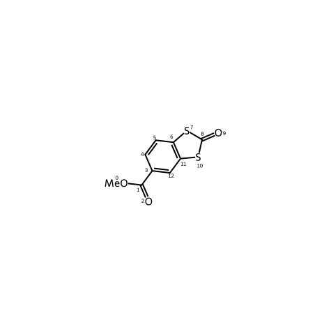 COC(=O)c1ccc2sc(=O)sc2c1